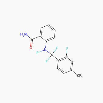 NC(=O)c1ccccc1N(F)C(F)(F)c1ccc(C(F)(F)F)cc1F